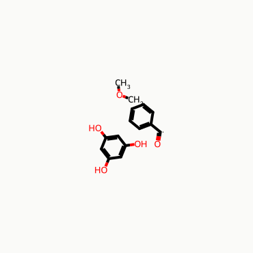 COC.O=[C]c1ccccc1.Oc1cc(O)cc(O)c1